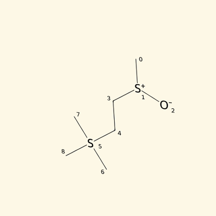 C[S+]([O-])CCS(C)(C)C